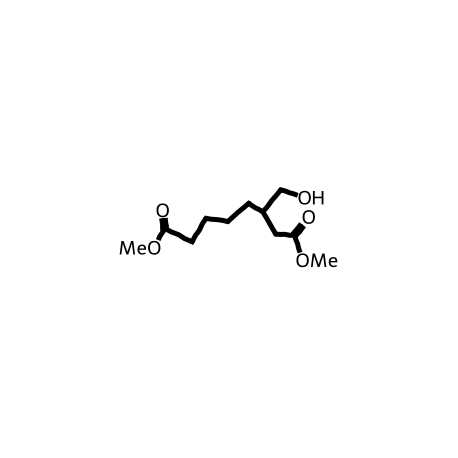 COC(=O)CCCCC(CO)CC(=O)OC